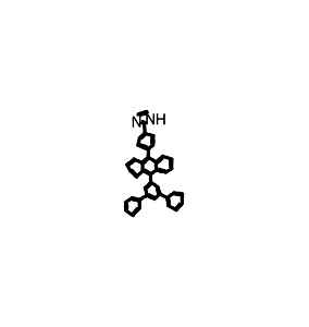 c1ccc(-c2cc(-c3ccccc3)cc(-c3c4ccccc4c(-c4ccc(-c5ncc[nH]5)cc4)c4ccccc34)c2)cc1